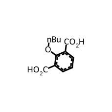 CCCCOc1c(C(=O)O)cccc1C(=O)O